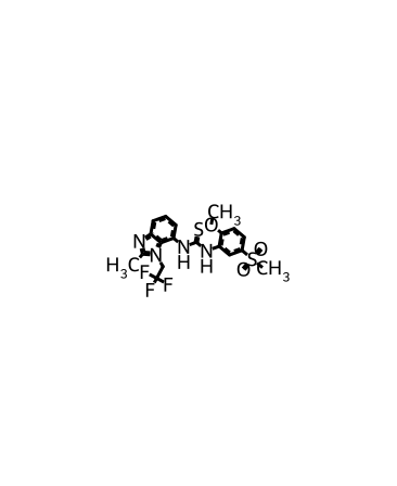 COc1ccc(S(C)(=O)=O)cc1NC(=S)Nc1cccc2nc(C)n(CC(F)(F)F)c12